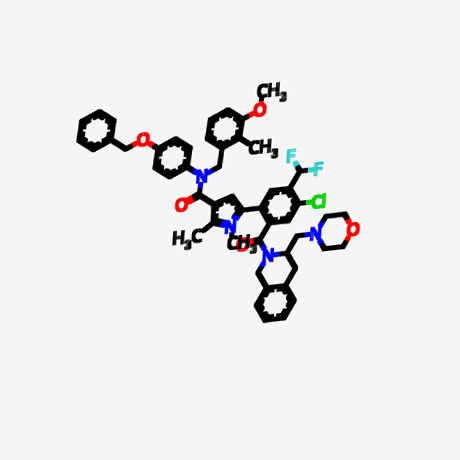 COc1cccc(CN(C(=O)c2cc(-c3cc(C(F)F)c(Cl)cc3C(=O)N3Cc4ccccc4CC3CN3CCOCC3)n(C)c2C)c2ccc(OCc3ccccc3)cc2)c1C